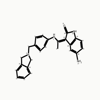 CC(Nc1ccc(CN2Cc3ccccc3C2)cc1)=C1C(=O)Nc2ccc(N)cc21